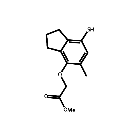 COC(=O)COc1c(C)cc(S)c2c1CCC2